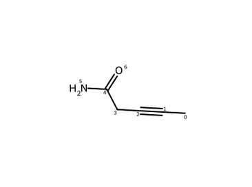 CC#CCC(N)=O